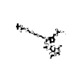 COC(=O)[C@H]1O[C@@H](Oc2ccc(COC(N)=O)cc2C(=O)NCCOCCOCCONC(=O)OC(C)(C)C)[C@H](OC(C)=O)[C@@H](OC(C)=O)[C@@H]1OC(C)=O